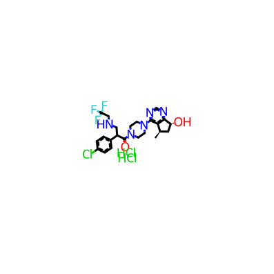 C[C@@H]1C[C@@H](O)c2ncnc(N3CCN(C(=O)C(CNCC(F)(F)F)c4ccc(Cl)cc4)CC3)c21.Cl.Cl